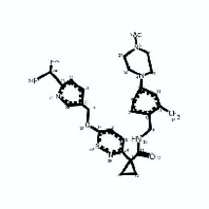 CC(=O)N1CCN(c2ccc(CNC(=O)C3(c4ccc(OCc5ccc(C(F)F)nc5)nn4)CC3)c(C(F)(F)F)c2)CC1